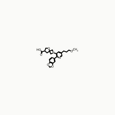 COCCCc1cnc(-c2ccc3c(c2)OCO3)c(N2CC3(CC(C(=O)O)CO3)C2)c1